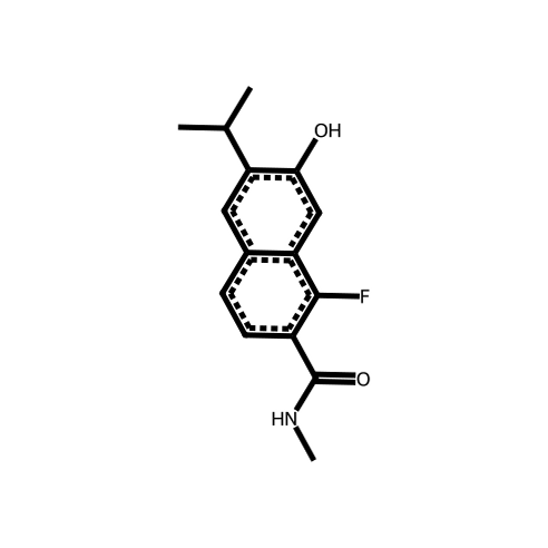 CNC(=O)c1ccc2cc(C(C)C)c(O)cc2c1F